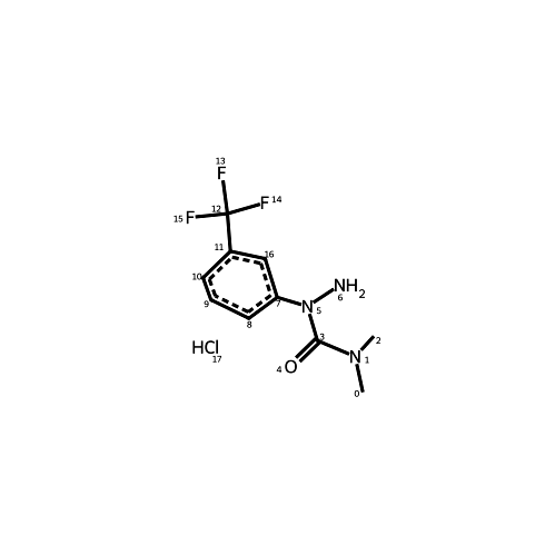 CN(C)C(=O)N(N)c1cccc(C(F)(F)F)c1.Cl